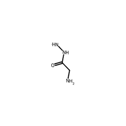 [NH]NC(=O)CN